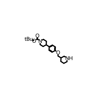 CC(C)(C)OC(=O)N1CCC(c2ccc(OCC3CCCNC3)cc2)CC1